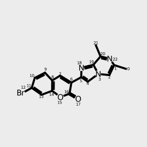 Cc1cn2cc(-c3cc4ccc(Br)cc4oc3=O)nc2c(C)n1